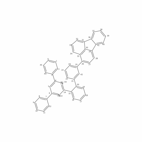 c1ccc(-c2cc(-c3ccccc3)nc(-c3ccccc3-c3cccc(-c4ccc5c6c(cccc46)-c4ccccc4-5)c3)n2)cc1